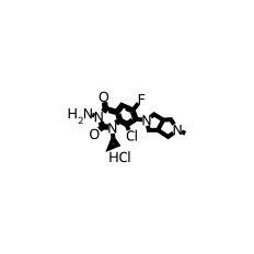 CN1CC2CN(c3c(F)cc4c(=O)n(N)c(=O)n(C5CC5)c4c3Cl)CC2C1.Cl